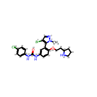 Cn1ncc(Br)c1-c1cc(NC(=O)Nc2ccc(Cl)cc2)ccc1OCCC1CCCN1